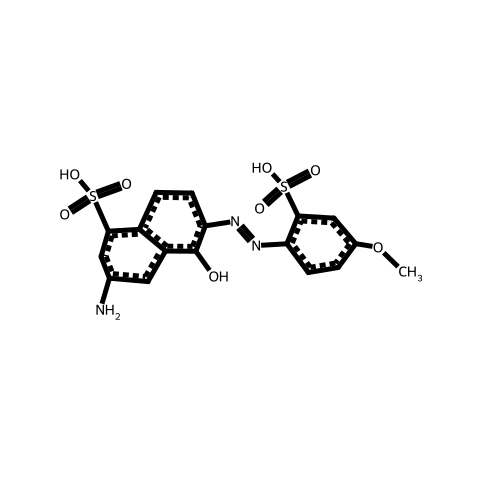 COc1ccc(N=Nc2ccc3c(S(=O)(=O)O)cc(N)cc3c2O)c(S(=O)(=O)O)c1